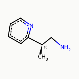 C[C@H](CN)c1ccccn1